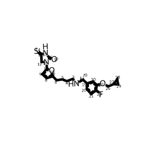 C[C@@H](NCCCCc1ccc(N2CC(=S)NC2=O)o1)c1ccc(F)c(OCC2CC2)c1